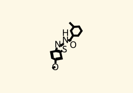 COc1ccc2nc(NC(=O)C3CCCC(C)C3)sc2c1